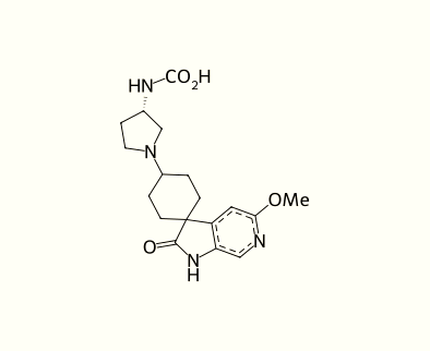 COc1cc2c(cn1)NC(=O)C21CCC(N2CC[C@H](NC(=O)O)C2)CC1